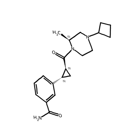 C[C@H]1CN(C2CCC2)CCN1C(=O)[C@H]1C[C@@H]1c1cccc(C(N)=O)c1